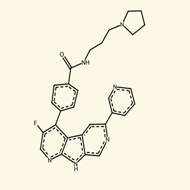 O=C(NCCCN1CCCC1)c1ccc(-c2c(F)cnc3[nH]c4cnc(-c5cccnc5)cc4c23)cc1